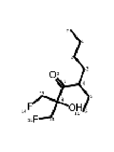 CCCCC(CC)C(=O)C(O)(CF)CF